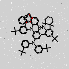 CC(C)(C)c1cccc(N(c2cccc(C(C)(C)C)c2)c2cc3c4c(c2)N(c2ccc(C(C)(C)C)cc2-c2ccccc2)c2c(ccc5oc6ccccc6c25)B4N2c4c-3cc(C(C)(C)C)cc4C3(C)CCCCC23C)c1